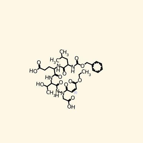 CCOC(=O)/C=C\C(=O)N(CC(=O)O)NC(=O)C(NC(=O)C(CCC(=O)O)NC(=O)C(CC(C)C)NC(=O)OCc1ccccc1)C(C)O